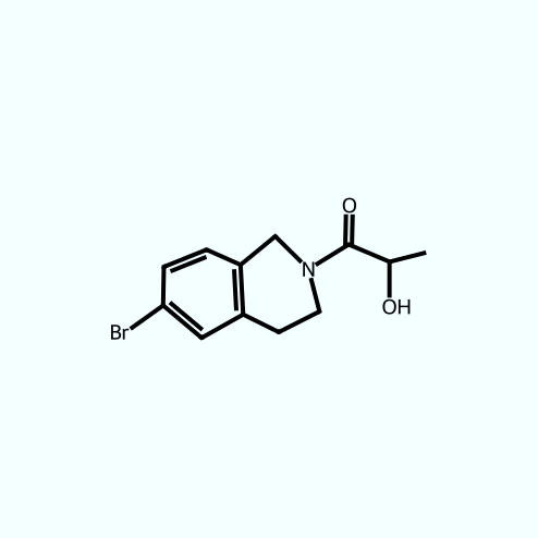 CC(O)C(=O)N1CCc2cc(Br)ccc2C1